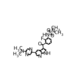 CN(C)c1cnc(-c2cnc3[nH]cc(C(=O)c4cccc(NS(=O)(=O)N(C)C)c4F)c3c2)cn1